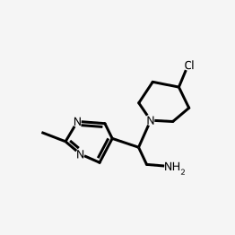 Cc1ncc(C(CN)N2CCC(Cl)CC2)cn1